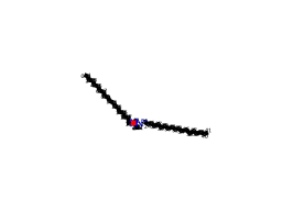 CCCCCCCCCCCCCCCCCCCn1cc[n+](CCCCCCCCCCCCCCCCCCC)c1